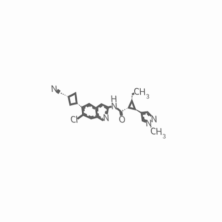 CC[C@H]1[C@@H](C(=O)Nc2cc3cc([C@H]4C[C@@H](C#N)C4)c(Cl)cc3cn2)[C@@H]1c1cnn(C)c1